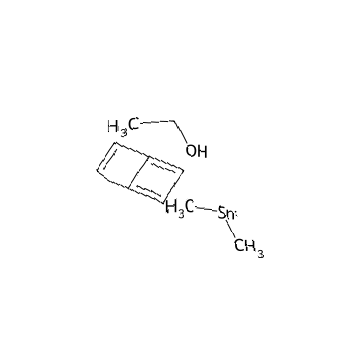 CCO.[CH3][Sn][CH3].c1cc2ccc1-2